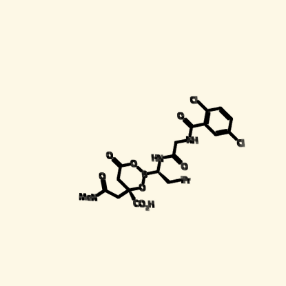 CNC(=O)C[C@]1(C(=O)O)CC(=O)OB([C@H](CC(C)C)NC(=O)CNC(=O)c2cc(Cl)ccc2Cl)O1